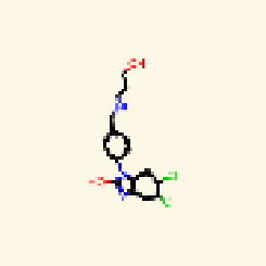 OCCCNCc1ccc(-n2c(O)nc3cc(Cl)c(Cl)cc32)cc1